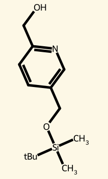 CC(C)(C)[Si](C)(C)OCc1ccc(CO)nc1